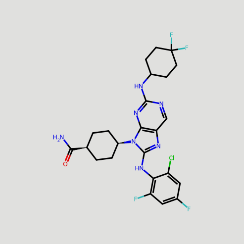 NC(=O)[C@H]1CC[C@@H](n2c(Nc3c(F)cc(F)cc3Cl)nc3cnc(NC4CCC(F)(F)CC4)nc32)CC1